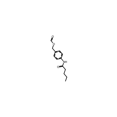 CCCCC(=O)Nc1ccc(CO[C]=O)cc1